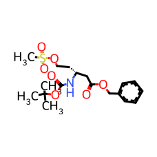 CC(C)(C)OC(=O)N[C@H](CCOS(C)(=O)=O)CC(=O)OCc1ccccc1